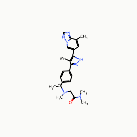 Cc1cc(-c2[nH]nc(-c3ccc([C@H](C)N(C)CC(=O)N(C)C)cc3)c2C(C)C)cn2ncnc12